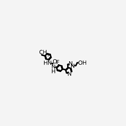 CCc1cccc(NC(=O)Nc2ccc(-c3cncc4c3cnn4CCO)cc2F)c1